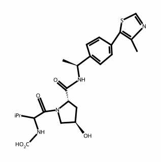 Cc1ncsc1-c1ccc([C@H](C)NC(=O)[C@@H]2C[C@@H](O)CN2C(=O)C(NC(=O)O)C(C)C)cc1